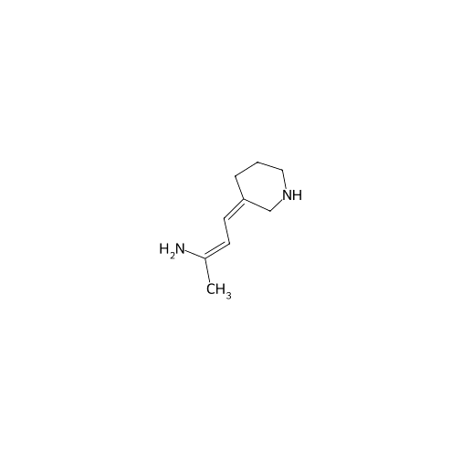 C/C(N)=C/C=C1/CCCNC1